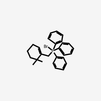 CC1(C)CCCC=C1CP(Br)(c1ccccc1)(c1ccccc1)c1ccccc1